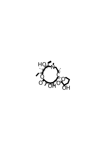 C=C[C@@H]1[C@@H](O)[C@@H](C)[C@@H](CC)OC(=O)[C@H](C)[C@@H](O)[C@H](C)[C@@H](O[C@@H]2OCCC[C@H]2O)[C@@H](C)C[C@@H](C)CN1C